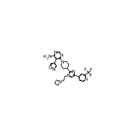 Nc1ncnc(N2CCC(c3nc(-c4ccnc(C(F)(F)F)c4)cn3CCN3CCC3)CC2)c1-c1cnoc1